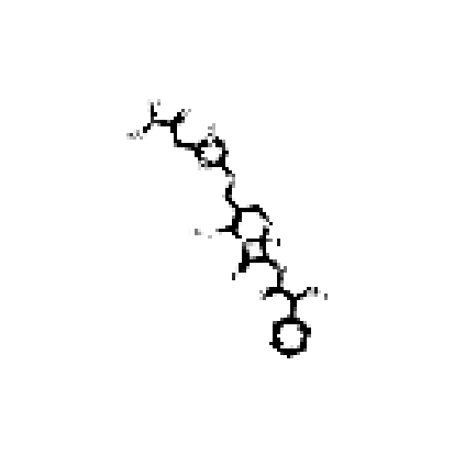 CCCCN(CCCC)C(=O)Cc1nc(SCC2=C(C(=O)O)N3C(=O)C(NC(=O)C(N)c4ccccc4)[C@@H]3SC2)n[nH]1